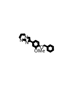 COc1cc(-c2cn3cccnc3n2)ccc1OCc1ccccc1